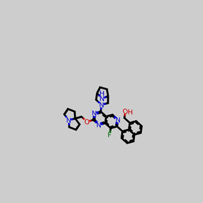 OCc1cccc2cccc(-c3ncc4c(N5CC6CCC(C5)N6)nc(OCC56CCCN5CCC6)nc4c3F)c12